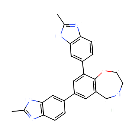 Cc1nc2ccc(-c3cc4c(c(-c5ccc6nc(C)[nH]c6c5)c3)OCCNC4)cc2[nH]1.Cl